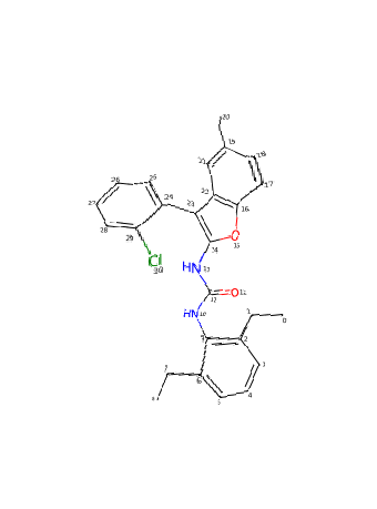 CCc1cccc(CC)c1NC(=O)Nc1oc2ccc(C)cc2c1-c1ccccc1Cl